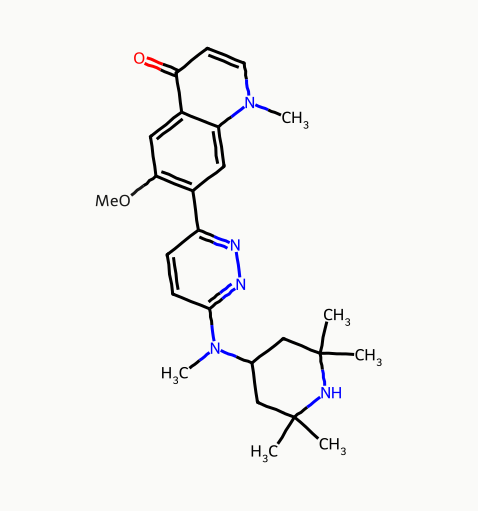 COc1cc2c(=O)ccn(C)c2cc1-c1ccc(N(C)C2CC(C)(C)NC(C)(C)C2)nn1